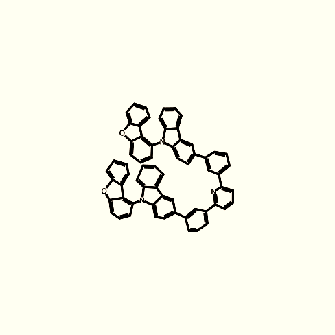 c1cc(-c2ccc3c(c2)c2ccccc2n3-c2cccc3oc4ccccc4c23)cc(-c2cccc(-c3cccc(-c4ccc5c(c4)c4ccccc4n5-c4cccc5oc6ccccc6c45)c3)n2)c1